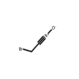 [O-][N+]#CCBr